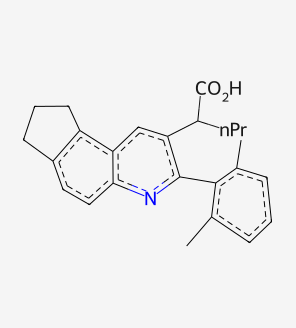 CCCC(C(=O)O)c1cc2c3c(ccc2nc1-c1c(C)cccc1C)CCC3